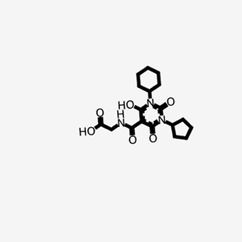 O=C(O)CNC(=O)c1c(O)n(C2CCCCC2)c(=O)n(C2CCCC2)c1=O